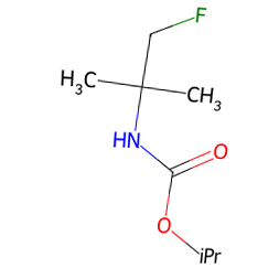 CC(C)OC(=O)NC(C)(C)CF